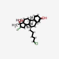 C[C@]1(O)[C@H](F)C[C@H]2[C@@H]3[C@H](CCCCCCl)Cc4cc(O)ccc4[C@H]3CC[C@@]21C